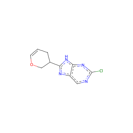 Clc1ncc2nc(C3CC=COC3)[nH]c2n1